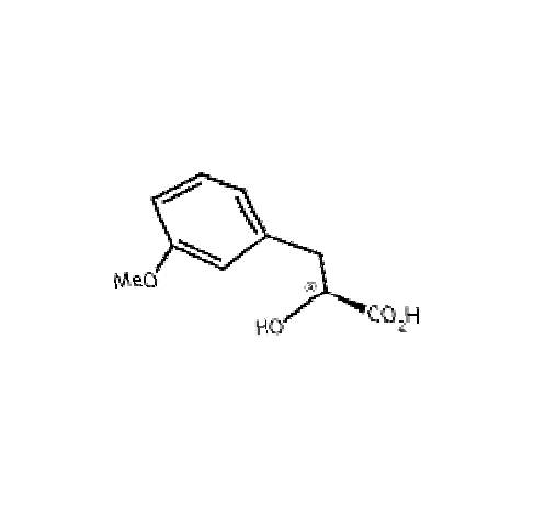 COc1cccc(C[C@H](O)C(=O)O)c1